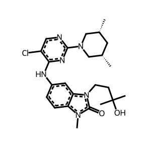 C[C@@H]1C[C@H](C)CN(c2ncc(Cl)c(Nc3ccc4c(c3)n(CCC(C)(C)O)c(=O)n4C)n2)C1